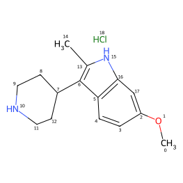 COc1ccc2c(C3CCNCC3)c(C)[nH]c2c1.Cl